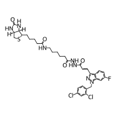 O=C(/C=C/c1nn(Cc2ccc(Cl)cc2Cl)c2cc(F)ccc12)NNC(=O)CCCCCNC(=O)CCCCC1SC[C@@H]2NC(=O)N[C@H]12